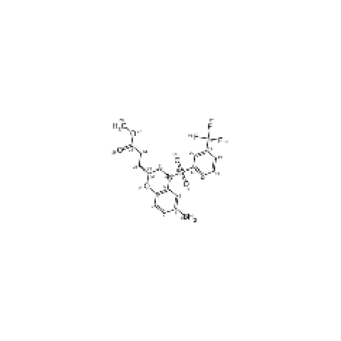 Bc1ccc2c(c1)N(S(=O)(=O)c1cccc(C(F)(F)F)c1)C[C@H](CCC(=O)OC)O2